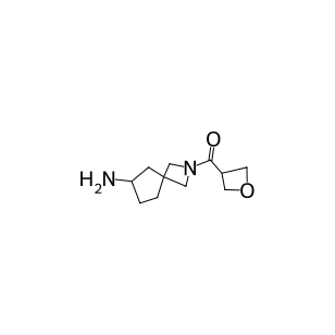 NC1CCC2(C1)CN(C(=O)C1COC1)C2